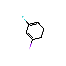 FC1=CCCC(I)=C1